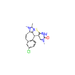 Cc1nc2c(n1C)C=Cc1cc(Cl)ccc1C2c1cn(C)c(=O)[nH]c1=S